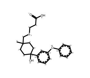 CC1(CSCCC(=O)O)CCC(O)(c2cccc(Oc3ccccc3)c2)CC1